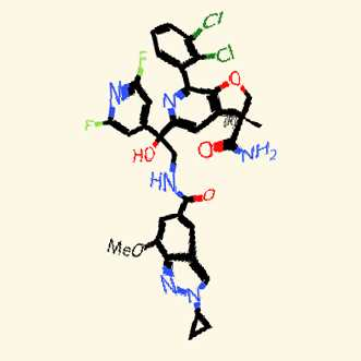 COc1cc(C(=O)NCC(O)(c2cc(F)nc(F)c2)c2cc3c(c(-c4cccc(Cl)c4Cl)n2)OC[C@]3(C)C(N)=O)cc2cn(C3CC3)nc12